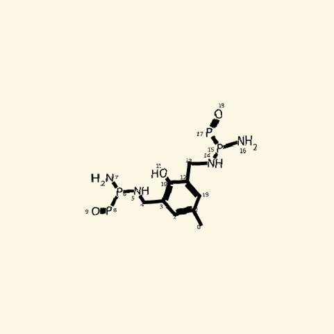 Cc1cc(CNP(N)P=O)c(O)c(CNP(N)P=O)c1